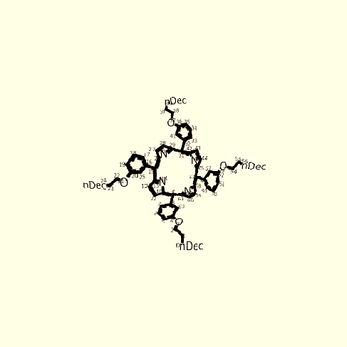 CCCCCCCCCCCCOc1cccc(C2=C3C=CC(=N3)C(c3cccc(OCCCCCCCCCCCC)c3)=C3C=CC(=N3)C(c3cccc(OCCCCCCCCCCCC)c3)=C3C=CC(=N3)C(c3cccc(OCCCCCCCCCCCC)c3)=C3C=CC2=N3)c1